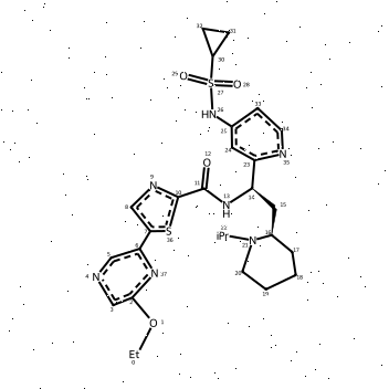 CCOc1cncc(-c2cnc(C(=O)N[C@H](C[C@H]3CCCCN3C(C)C)c3cc(NS(=O)(=O)C4CC4)ccn3)s2)n1